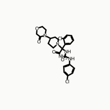 NC(=O)C(NC(=O)Nc1ccc(Cl)cc1)(c1ccccc1Cl)N1CCC(N2CCOCC2=O)CC1